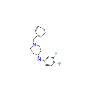 Fc1ccc(NC2CCN(Cc3ccccc3)CC2)cc1F